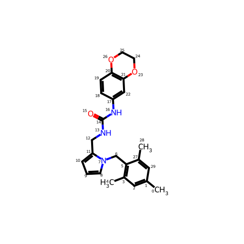 Cc1cc(C)c(Cn2cccc2CNC(=O)Nc2ccc3c(c2)OCCO3)c(C)c1